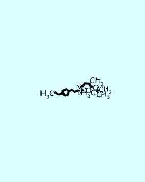 C=C(Cc1nc(CCc2ccc(CCC)cc2)no1)C(=O)OC(C)(C)C